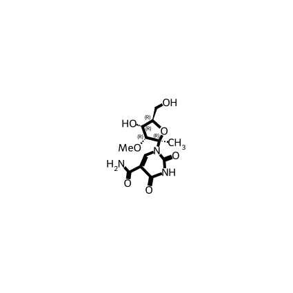 CO[C@@H]1[C@H](O)[C@@H](CO)O[C@@]1(C)n1cc(C(N)=O)c(=O)[nH]c1=O